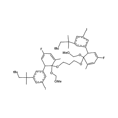 COCOC1(OCCCOC2(OCOC)C(C)=CC(F)=CC2c2cc(I)cc(C(C)(C)CC(C)(C)C)c2)C(C)=CC(F)=CC1c1cc(I)cc(C(C)(C)CC(C)(C)C)c1